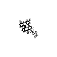 C=NN1/C(=C(/OCOC(=O)N(C)C)C(C)=O)C(=O)N2CCC[C@@H]2[C@@H]1[C@H](c1ccc(F)cc1)c1cccc(F)c1F